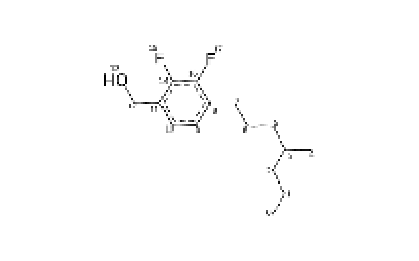 CCCC(C)CCCc1ccc(CO)c(F)c1F